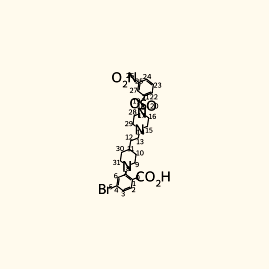 O=C(O)c1ccc(Br)cc1N1CCC(CCN2CCN(S(=O)(=O)c3cccc([N+](=O)[O-])c3)CC2)CC1